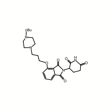 CCCCN1CCN(CCCOc2cccc3c2C(=O)N(C2CCC(=O)NC2=O)C3=O)CC1